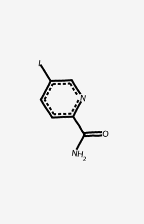 NC(=O)c1ccc(I)cn1